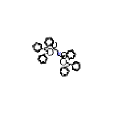 O=C(/C=C/C(=O)OS(c1ccccc1)(c1ccccc1)c1ccccc1)OS(c1ccccc1)(c1ccccc1)c1ccccc1